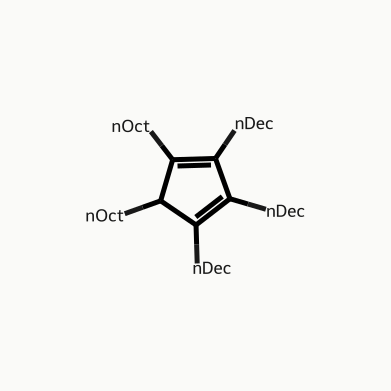 CCCCCCCCCCC1=C(CCCCCCCC)C(CCCCCCCC)C(CCCCCCCCCC)=C1CCCCCCCCCC